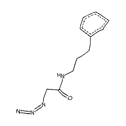 [N-]=[N+]=NCC(=O)NCCCc1ccccc1